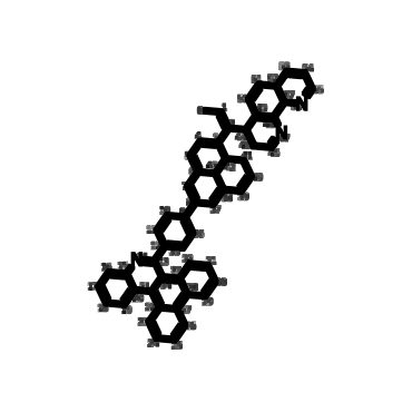 C/C=C(\C1=CC=C2C=C(c3ccc(-c4nc5ccccc5c5c6ccccc6c6ccccc6c45)cc3)C=C3C=CCC1C23)C1CC=NC2=C1C=CC1C=CC=NC21